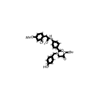 COc1ccc(CC(=O)Nc2ccc(C(=O)N(CC(=O)OC(C)(C)C)Cc3ccc(O)cc3)cc2)c(C(F)(F)F)c1